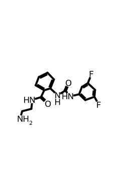 NCCNC(=O)c1ccccc1NC(=O)Nc1cc(F)cc(F)c1